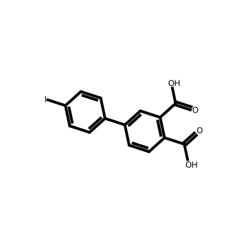 O=C(O)c1ccc(-c2ccc(I)cc2)cc1C(=O)O